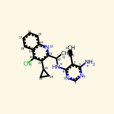 C#Cc1c(N)ncnc1NC(C)c1nc2ccccc2c(Cl)c1C1CC1